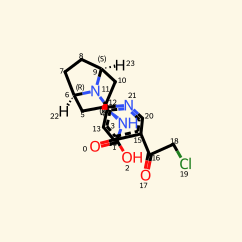 O=C(O)N[C@H]1C[C@H]2CC[C@@H](C1)N2c1ccc(C(=O)CCl)cn1